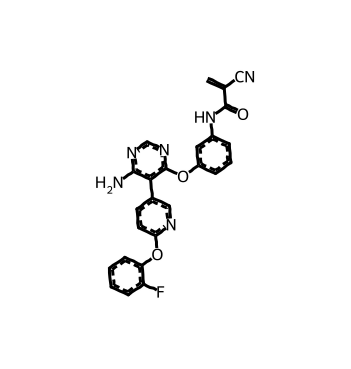 C=C(C#N)C(=O)Nc1cccc(Oc2ncnc(N)c2-c2ccc(Oc3ccccc3F)nc2)c1